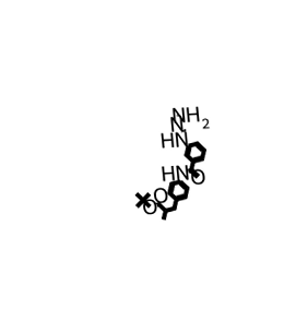 CC(Cc1ccc(NC(=O)c2cccc(NC=NN)c2)cc1)C(=O)OC(C)(C)C